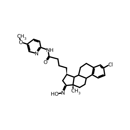 COc1ccc(NC(=O)CCC[C@@H]2C/C(=N\O)[C@@]3(C)CCC4c5ccc(Cl)cc5CCC4C23)nc1